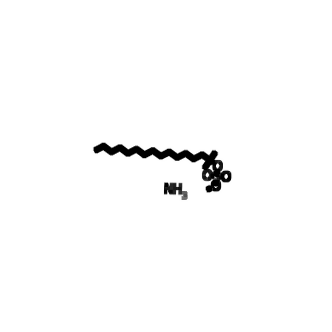 CCCCCCCCCCCCCCC(C)(C)OS(=O)(=O)OC.N